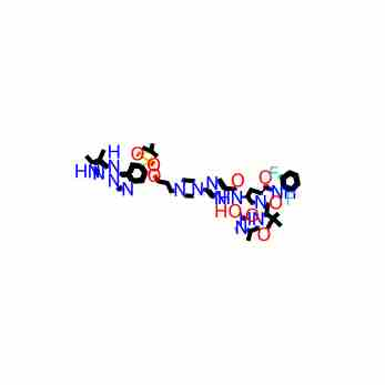 Cc1[nH]nc(Nc2ncnc3cc(OCCCN4CCN(c5cnc(C(=O)N[C@H]6C[C@@H](C(=O)Nc7c(F)cccc7F)N(C(=O)C(NC(=O)C(C)N(C)C(=O)O)C(C)(C)C)C6)cn5)CC4)c(S(=O)(=O)C(C)(C)C)cc23)c1C